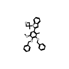 COc1cc(-c2cc3ccccc3n2C2(C)COC2)c(C)c(OCc2ccccc2)c1OCc1ccccc1